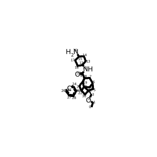 CCOC[C@]12CC3CC4(C(=O)NC5CCC(N)CC5)CC1(C3)[C@](c1ccccc1)(C4)C2